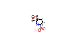 O=C(O)c1ccc2c(n1)COC2